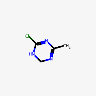 CC1=NCNC(Cl)=N1